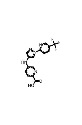 O=C(O)c1ccc(Nc2cnn(-c3ccc(C(F)(F)F)cn3)c2)cn1